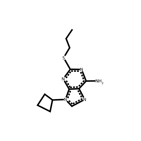 CCCSc1nc(N)c2ncn(C3CCC3)c2n1